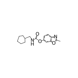 Cc1nc2ccc(OC(=O)NCC3CCCCC3)cc2o1